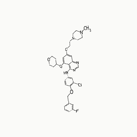 CN1CCN(CCOc2cc(OC3CCOCC3)c3c(Nc4ccc(OCc5cccc(F)c5)c(Cl)c4)ncnc3c2)CC1